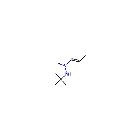 C/C=C/N(C)NC(C)(C)C